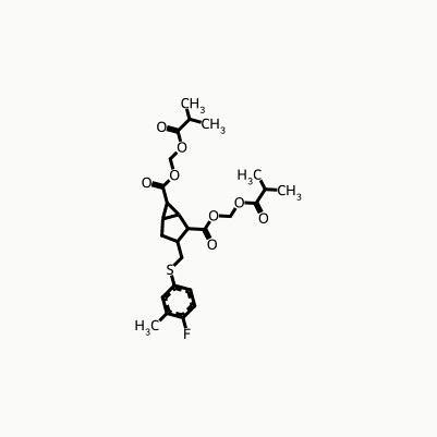 Cc1cc(SCC2CC3C(C(=O)OCOC(=O)C(C)C)C3C2C(=O)OCOC(=O)C(C)C)ccc1F